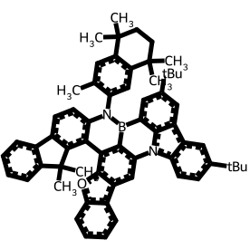 Cc1cc2c(cc1N1B3c4c(cc5c(oc6ccccc65)c4-c4c1ccc1c4C(C)(C)c4ccccc4-1)-n1c4ccc(C(C)(C)C)cc4c4cc(C(C)(C)C)cc3c41)C(C)(C)CCC2(C)C